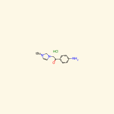 CC(C)(C)N1C=CN(CC(=O)c2ccc(N)cc2)C1.Cl